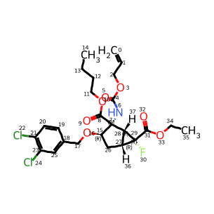 C=CCOC(=O)N[C@@]1(C(=O)OCCCC)[C@H](OCc2ccc(Cl)c(Cl)c2)C[C@@H]2[C@H]1[C@@]2(F)C(=O)OCC